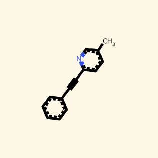 Cc1ccc(C#Cc2ccccc2)nc1